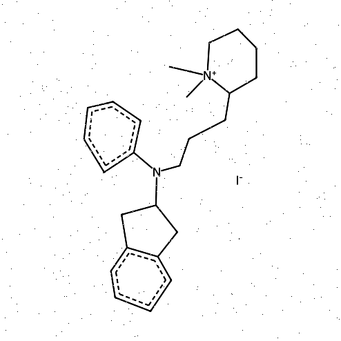 C[N+]1(C)CCCCC1CCCN(c1ccccc1)C1Cc2ccccc2C1.[I-]